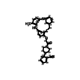 Cc1cnc2nc1Nc1ccc(OCC(=O)N3CCN(c4ncccc4C#N)CC3)c(c1)CCc1cncc(c1)N2